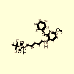 COc1ccc(NCCCCCNS(=O)(=O)C(C)(C)C)c(Sc2ccccc2)n1